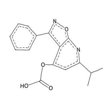 CC(C)c1cc(OC(=O)O)c2c(-c3ccccc3)noc2n1